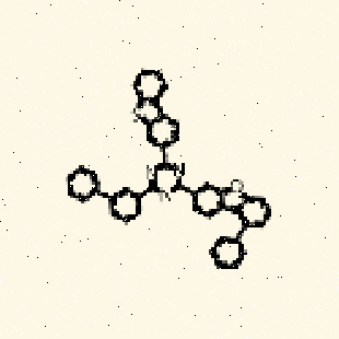 c1ccc(-c2cccc(-c3nc(-c4ccc5c(c4)oc4cccc(-c6ccccc6)c45)nc(-c4ccc5c(c4)sc4ccccc45)n3)c2)cc1